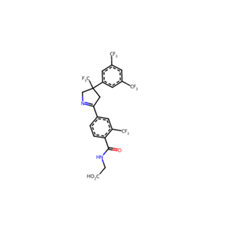 O=C(O)CNC(=O)c1ccc(C2=NCC(c3cc(C(F)(F)F)cc(C(F)(F)F)c3)(C(F)(F)F)C2)cc1C(F)(F)F